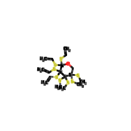 C=CS[Si]1(SC=C)OC[Si](SC)(SC)[Si](SC)(SC)[Si]1(SC=C)SC=C